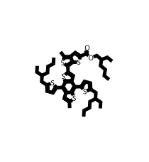 CCCCC(CC)COC(=O)c1cc2c(C)sc(-c3cc4c(-c5ccc(CC(CC)CCCC)s5)c5sc(C)cc5c(-c5ccc(CC(CC)CCCC)s5)c4s3)c2s1